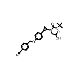 CC(C)(C)OC(=O)N(CC(=O)O)C1CC1c1ccc(OCc2ccc(C#N)cc2)cc1